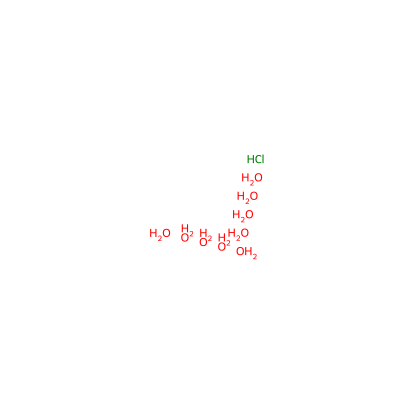 Cl.O.O.O.O.O.O.O.O.O